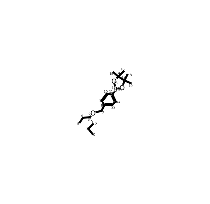 CCC[C@H](CC)OCc1ccc(B2OC(C)(C)C(C)(C)O2)cc1